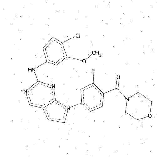 COc1cc(Nc2ncc3ccn(-c4ccc(C(=O)N5CCOCC5)c(F)c4)c3n2)ccc1Cl